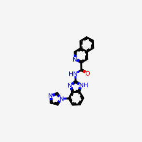 O=C(Nc1nc2c(-n3ccnc3)cccc2[nH]1)c1cc2ccccc2cn1